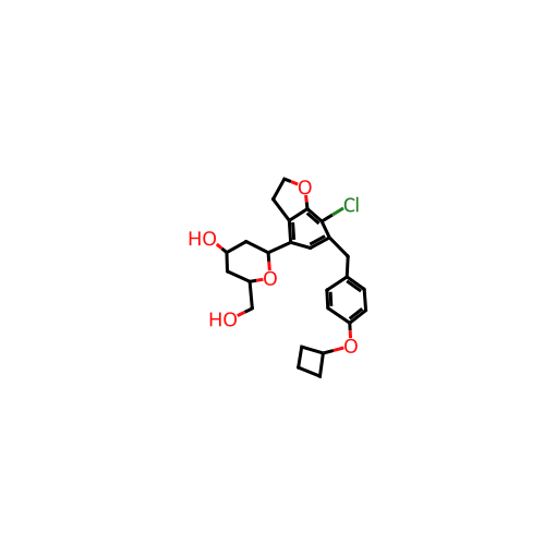 OCC1CC(O)CC(c2cc(Cc3ccc(OC4CCC4)cc3)c(Cl)c3c2CCO3)O1